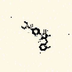 CCN(CC)S(=O)(=O)c1ccc(-n2[nH]c(C)c(Cc3ccccc3F)c2=O)nc1